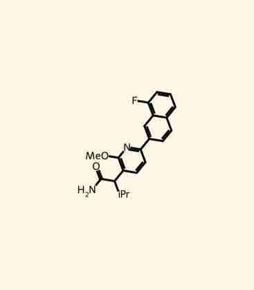 COc1nc(-c2ccc3cccc(F)c3c2)ccc1C(C(N)=O)C(C)C